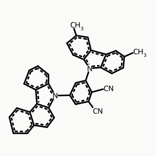 Cc1ccc2c(c1)c1cc(C)ccc1n2-c1cc(-n2c3ccccc3c3c4ccccc4ccc32)cc(C#N)c1C#N